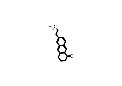 CCCc1ccc2cc3c(cc2c1)CCCC3=O